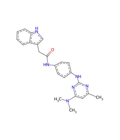 Cc1cc(N(C)C)nc(Nc2ccc(NC(=O)Cc3c[nH]c4ccccc34)cc2)n1